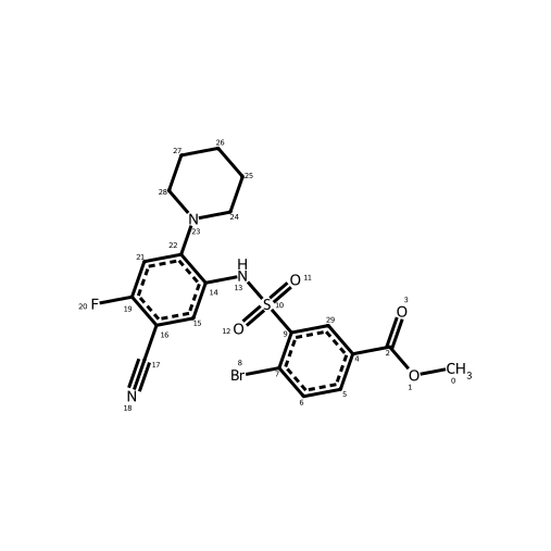 COC(=O)c1ccc(Br)c(S(=O)(=O)Nc2cc(C#N)c(F)cc2N2CCCCC2)c1